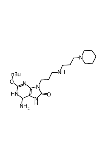 CCCCOC1=Nc2c([nH]c(=O)n2CCCNCCCN2CCCCC2)C(N)N1